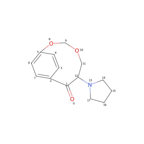 O=C1c2ccc(cc2)OCOCC1N1CCCC1